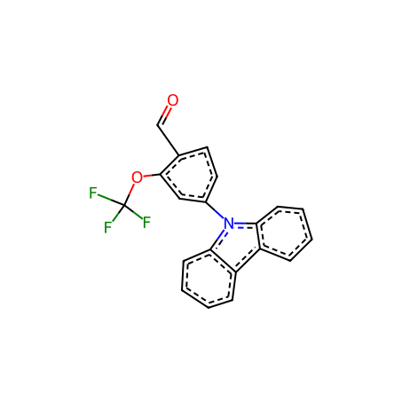 O=Cc1ccc(-n2c3ccccc3c3ccccc32)cc1OC(F)(F)F